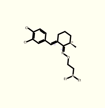 CCN(CC)CCO/N=C1/C(=C/c2ccc(Cl)c(Cl)c2)CCC[C@H]1C